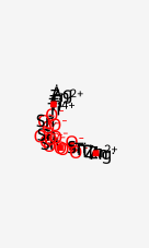 [Ag].[Ag].[O-2].[O]=[Sn]([O-])[O-].[O]=[Sn]([O-])[O-].[O]=[Sn]([O-])[O-].[O]=[Sn]([O-])[O-].[Ti+4].[Ti].[Ti].[Ti].[Ti].[Zn+2].[Zn+2].[Zn]